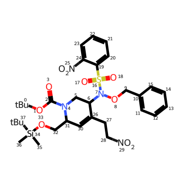 CC(C)(C)OC(=O)N1CC(N(OCc2ccccc2)S(=O)(=O)c2ccccc2[N+](=O)[O-])C(CC[N+](=O)[O-])=CC1CO[Si](C)(C)C(C)(C)C